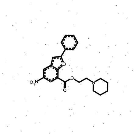 O=C(OCCN1CCCCC1)c1cc([N+](=O)[O-])cc2cc(-c3ccccc3)oc12